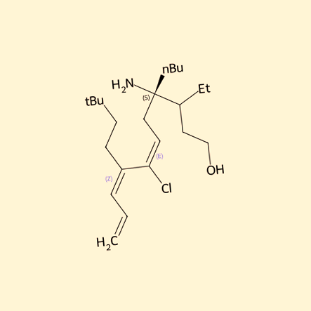 C=C/C=C(CCC(C)(C)C)\C(Cl)=C/C[C@@](N)(CCCC)C(CC)CCO